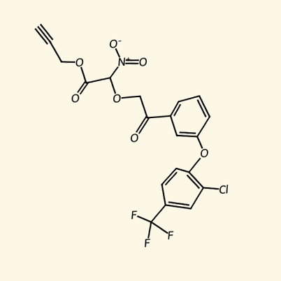 C#CCOC(=O)C(OCC(=O)c1cccc(Oc2ccc(C(F)(F)F)cc2Cl)c1)[N+](=O)[O-]